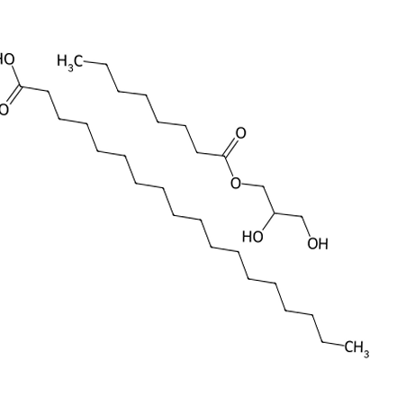 CCCCCCCC(=O)OCC(O)CO.CCCCCCCCCCCCCCCCCC(=O)O